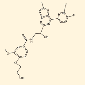 COc1cc(C(=O)NCC(O)c2cc3cc(C)oc3c(-c3ccc(F)c(Cl)c3)n2)ccc1OCCO